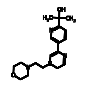 CC(C)(O)c1ccc(C2=CN(CCN3CCOCC3)CC=N2)cn1